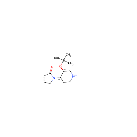 CC(C)(C)[Si](C)(C)O[C@H]1CNCC[C@@H]1N1CCCC1=O